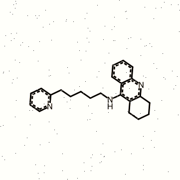 c1ccc(CCCCCNc2c3c(nc4ccccc24)CCCC3)nc1